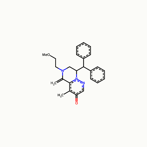 C=C1c2c(C)c(=O)cnn2C(C(c2ccccc2)c2ccccc2)CN1CCOC